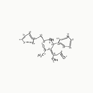 CC(=O)/C(=C(\O)C=O)C(NCCc1ccccc1)c1cccnc1